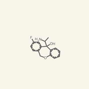 CC(N)C1(O)c2cc(F)ccc2COc2ccccc21